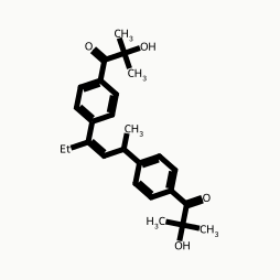 CCC(=CC(C)c1ccc(C(=O)C(C)(C)O)cc1)c1ccc(C(=O)C(C)(C)O)cc1